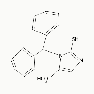 O=C(O)c1cnc(S)n1C(c1ccccc1)c1ccccc1